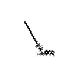 CCCCCCCCCCCCCCCCCCNC(=O)OCC(COP(O)Oc1ccc(C[n+]2csc(C)c2C)cc1)OC